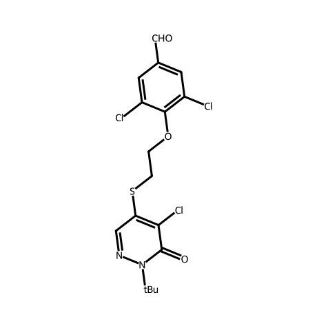 CC(C)(C)n1ncc(SCCOc2c(Cl)cc(C=O)cc2Cl)c(Cl)c1=O